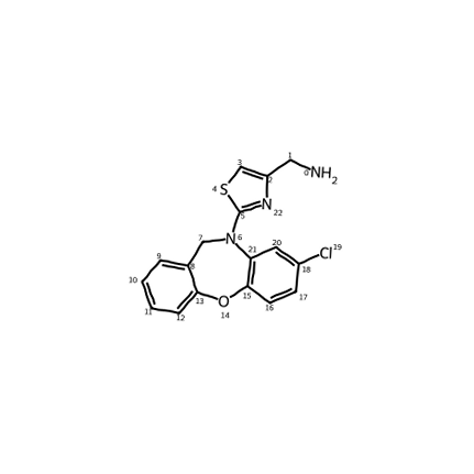 NCc1csc(N2Cc3ccccc3Oc3ccc(Cl)cc32)n1